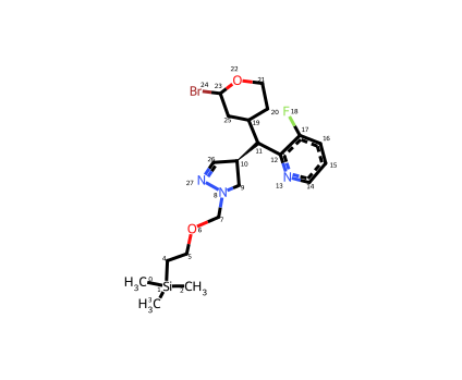 C[Si](C)(C)CCOCN1C[C@H](C(c2ncccc2F)C2CCOC(Br)C2)C=N1